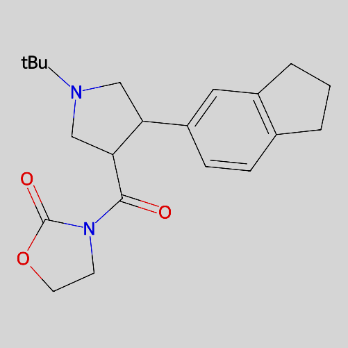 CC(C)(C)N1CC(C(=O)N2CCOC2=O)C(c2ccc3c(c2)CCC3)C1